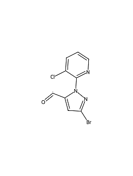 O=[C]c1cc(Br)nn1-c1ncccc1Cl